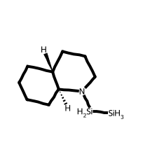 [SiH3][SiH2]N1CCC[C@H]2CCCC[C@@H]21